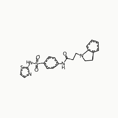 O=C(CCN1CCc2ccccc21)Nc1ccc(S(=O)(=O)Nc2nccs2)cc1